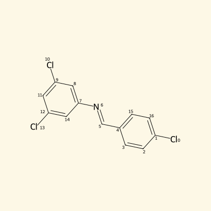 Clc1ccc(C=Nc2cc(Cl)cc(Cl)c2)cc1